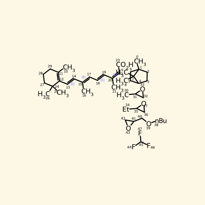 CC12CCC(CC1)C2(C)C.CC1=C(/C=C/C(C)=C/C=C/C(C)=C\C(=O)O)C(C)(C)CCC1.CC1CO1.CCC1CO1.CCCCOCC1CO1.F[C](F)F